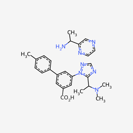 CC(N)c1cnccn1.Cc1ccc(-c2cc(C(=O)O)cc(-n3ncnc3C(C)N(C)C)c2)cc1